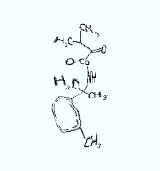 Cc1cccc(C(C)(C)[NH][Co](=[O])[C](=O)C(C)C)c1